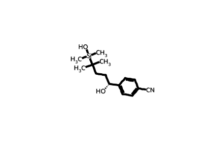 CC(C)(CC[C@@H](O)c1ccc(C#N)cc1)[Si](C)(C)O